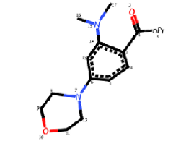 CCCC(=O)c1ccc(N2CCOCC2)cc1N(C)C